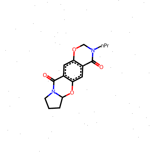 CCCN1COc2cc3c(cc2C1=O)OC1CCCN1C3=O